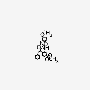 COc1ccc2oc(NC(=O)C(Cc3ccc(F)cc3)c3ccc(S(C)(=O)=O)cc3)nc2c1